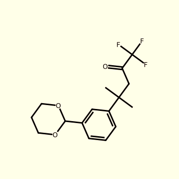 CC(C)(CC(=O)C(F)(F)F)c1cccc(C2OCCCO2)c1